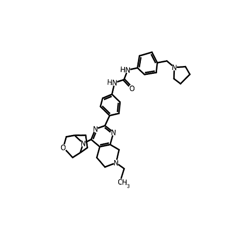 CCN1CCc2c(nc(-c3ccc(NC(=O)Nc4ccc(CN5CCCC5)cc4)cc3)nc2N2C3CCC2COC3)C1